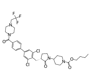 CCCCOC(=O)N1CCC(N2CC[C@@H](Cc3c(Cl)cc(-c4ccc(C(=O)N5CCN(CC(F)(F)F)CC5)cc4)cc3Cl)C2=O)CC1